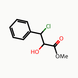 COC(=O)C(O)C(Cl)c1ccccc1